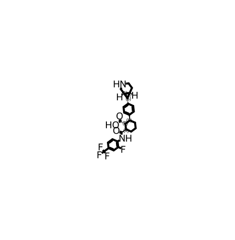 O=C(O)[C@@H]1[C@@H](c2ccc([C@H]3[C@@H]4CCNC[C@@H]43)cc2)CCC[C@H]1C(=O)Nc1ccc(C(F)(F)F)cc1F